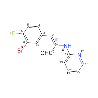 O=C/C(=C\c1ccc(F)c(Br)c1)Nc1ccccn1